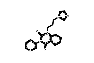 O=c1c2ccccc2n(CCCn2ccnc2)c(=O)n1-c1cccnc1